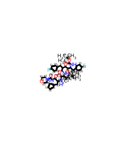 CC(C)C(NC(=O)C(Cc1ccc(F)cc1)CC(O[Si](C)(C)C(C)(C)C)C(Cc1ccc(F)cc1)NC(=O)OC(C)(C)C)C(=O)NC(Cc1ccccc1)C(=O)NC(=O)N1CCOCC1